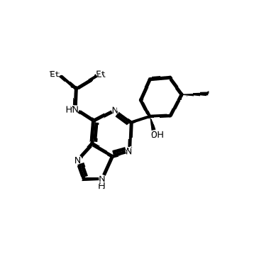 CCC(CC)Nc1nc([C@]2(O)CCC[C@@H](C)C2)nc2[nH]cnc12